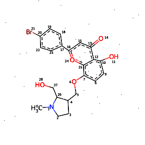 CN1CCC(COc2ccc(O)c3c(=O)cc(-c4ccc(Br)cc4)oc23)C1CO